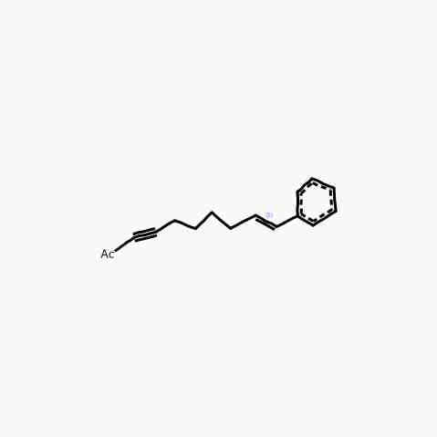 CC(=O)C#CCCCC/C=C/c1ccccc1